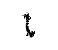 O=C1CCC(N2CCN(CCN3CC(F)(CN4CCC(n5cc6cc(NC(=O)c7cnn8cccnc78)c(OCC7CC7)cc6n5)CC4)C3)CC2=O)C(=O)N1